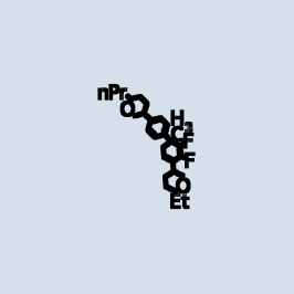 CCCC1CCC(c2ccc(C3(C)CC=C(C4CCC(CC)OC4)C(F)=C3F)cc2)CO1